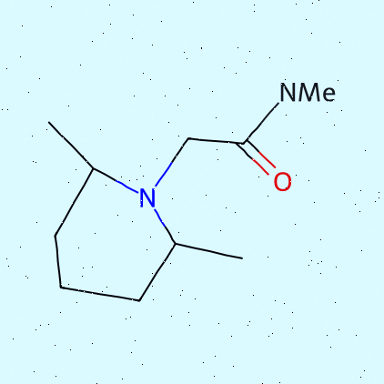 CNC(=O)CN1C(C)CCCC1C